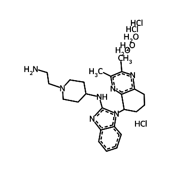 Cc1nc2c(nc1C)C(n1c(NC3CCN(CCN)CC3)nc3ccccc31)CCC2.Cl.Cl.Cl.O.O.O